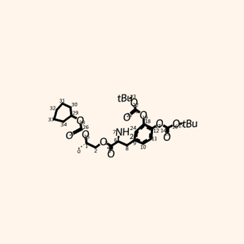 C[C@@H](COC(=O)[C@@H](N)Cc1ccc(OC(=O)OC(C)(C)C)c(OC(=O)OC(C)(C)C)c1)OC(=O)OC1CCCCC1